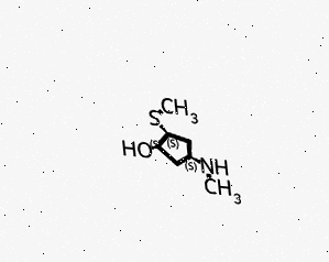 CN[C@@H]1C[C@H](SC)[C@@H](O)C1